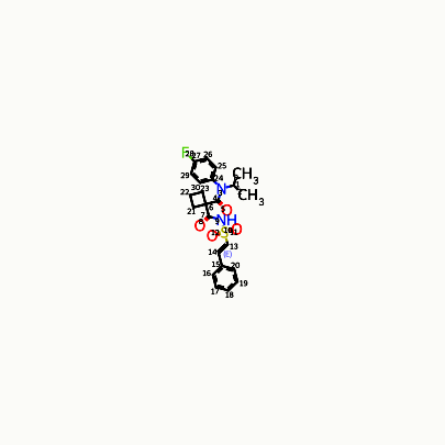 CC(C)N(C(=O)C1(C(=O)NS(=O)(=O)/C=C/c2ccccc2)CCC1)c1ccc(F)cc1